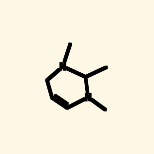 CC1N(C)C=CCN1C